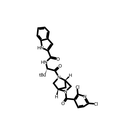 CC(C)(C)[C@H](NC(=O)c1cc2ccccc2[nH]1)C(=O)N1C[C@@H]2C[C@H]1CN2C(=O)c1ccc(Cl)nc1Cl